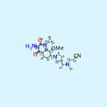 COc1c(N2CCC(C(C)N(C)CCC#N)C2)ccc2c(=O)n(N)c(=O)n(C3CC3)c12